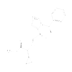 COC(=O)C(OCC(=O)c1cncn1[C@H](C)c1ccccc1)C1CC1